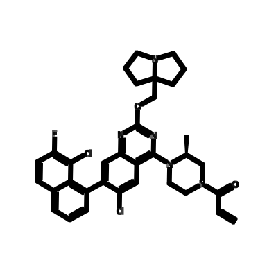 C=CC(=O)N1CCN(c2nc(OCC34CCCN3CCC4)nc3cc(-c4cccc5ccc(F)c(Cl)c45)c(Cl)cc23)[C@@H](C)C1